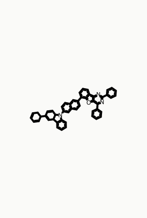 C1=CCC(C2=CC3c4ccccc4N(c4ccc5cc(-c6cccc7c6oc6c(-c8ccccc8)nc(-c8ccccc8)nc67)ccc5c4)C3C=C2)C=C1